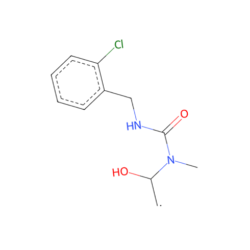 [CH2]C(O)N(C)C(=O)NCc1ccccc1Cl